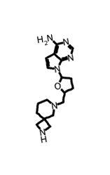 Nc1ncnc2c1ccn2C1CCC(CN2CCCC3(CNC3)C2)O1